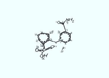 NC(=O)c1ccc[n+](Cc2ccccc2S(=O)(=O)O)c1.[F-]